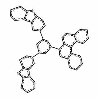 c1ccc2c(c1)ccc1c(-c3cc(-c4ccc5sc6ccccc6c5c4)cc(-c4ccc5sc6ccccc6c5c4)c3)cc3ccccc3c12